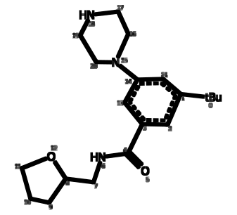 CC(C)(C)c1cc(C(=O)NCC2CCCO2)cc(N2CCNCC2)c1